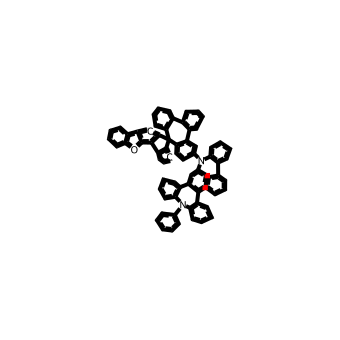 c1ccc(-c2ccccc2N(c2ccc3c(c2)-c2ccccc2N(c2ccccc2)c2ccccc2-3)c2ccc3c(c2)-c2ccccc2-c2ccccc2C32c3ccccc3-c3c2ccc2c3oc3ccccc32)cc1